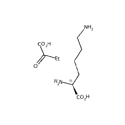 CCC(=O)C(=O)O.NCCCC[C@H](N)C(=O)O